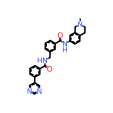 CN1CCc2ccc(NC(=O)c3cccc(CNC(=O)c4cccc(-c5cncnc5)c4)c3)cc2C1